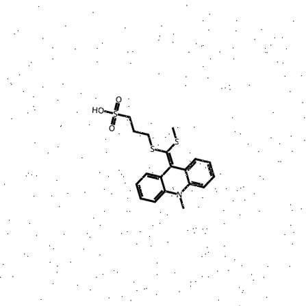 CSC(SCCCS(=O)(=O)O)=C1c2ccccc2N(C)c2ccccc21